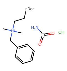 CCCCCCCCCCCC[N+](C)(C)Cc1ccccc1.Cl.[NH2][Ti](=[O])=[O]